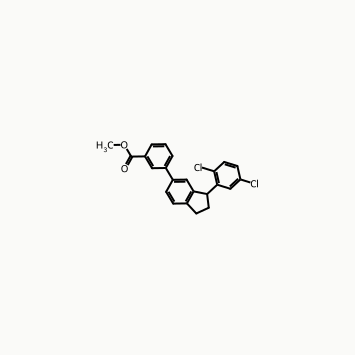 COC(=O)c1cccc(-c2ccc3c(c2)C(c2cc(Cl)ccc2Cl)CC3)c1